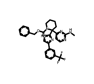 CNc1nccc(C2(c3nc(-c4cccc(C(F)(F)F)c4)c[nH]3)CCCCN2C(=O)OCc2ccccc2)n1